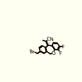 C/C(C#N)=C1\c2ccc(CBr)cc2COc2c1ccc(F)c2F